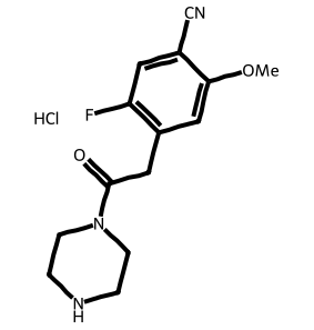 COc1cc(CC(=O)N2CCNCC2)c(F)cc1C#N.Cl